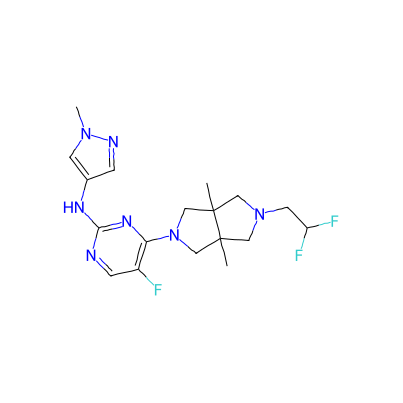 Cn1cc(Nc2ncc(F)c(N3CC4(C)CN(CC(F)F)CC4(C)C3)n2)cn1